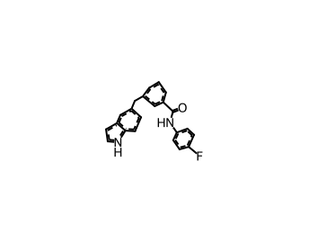 O=C(Nc1ccc(F)cc1)c1cccc(Cc2ccc3[nH]ccc3c2)c1